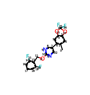 Cc1cc2c(cc1-c1cnc(OCc3c(F)cccc3F)nc1)OC(F)(F)O2